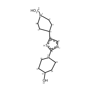 O=C(O)N1CCC(c2cnc(N3CCC(O)CC3)s2)CC1